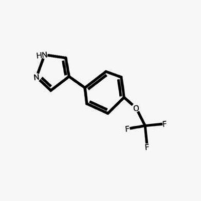 FC(F)(F)Oc1ccc(-c2cn[nH]c2)cc1